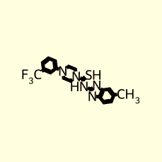 Cc1ccc2nc(NC(=S)N3CCN(c4cccc(C(F)(F)F)c4)CC3)[nH]c2c1